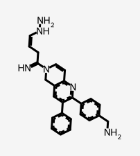 N=C(C/C=C\NN)N1C=Cc2nc(-c3ccc(CN)cc3)c(-c3ccccc3)cc2C1